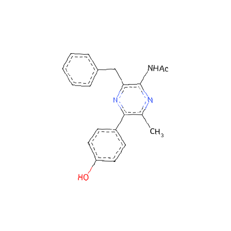 CC(=O)Nc1nc(C)c(-c2ccc(O)cc2)nc1Cc1ccccc1